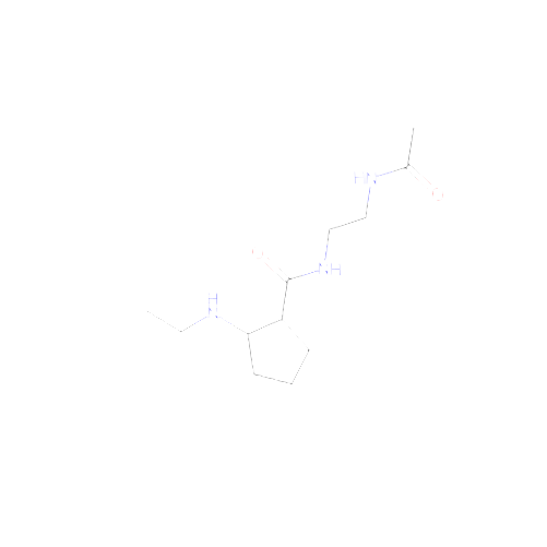 CCNC1CCCC1C(=O)NCCNC(C)=O